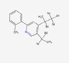 [2H]C([2H])(C)c1cnc(-c2ccccc2C)cc1C([2H])(C)C([2H])([2H])[2H]